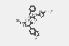 Cn1cnc2cc(C(NC(=O)OC(C)(C)C)C(=O)N[C@@H](Cc3ccccc3)C(=O)Nc3nc(C(=O)O)cs3)ccc21